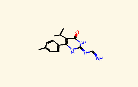 Cc1ccc(-c2[nH]/c(=N/C=N)[nH]c(=O)c2C(C)C)cc1